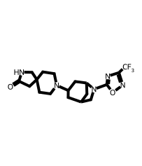 O=C1CC2(CCN(C3CC4CC(C3)N(c3nc(C(F)(F)F)no3)C4)CC2)CN1